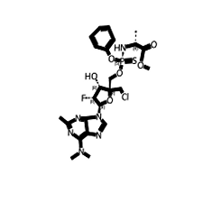 COC(=O)[C@@H](C)N[P@](=S)(OC[C@@]1(CCl)O[C@@H](n2cnc3c(N(C)C)nc(C)nc32)[C@H](F)[C@@H]1O)Oc1ccccc1